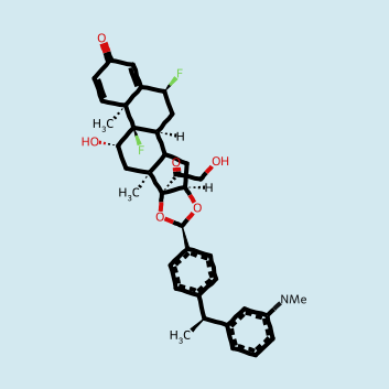 CNc1cccc([C@@H](C)c2ccc([C@@H]3O[C@@H]4CC5[C@@H]6C[C@H](F)C7=CC(=O)C=C[C@]7(C)[C@@]6(F)[C@@H](O)C[C@]5(C)[C@]4(C(=O)CO)O3)cc2)c1